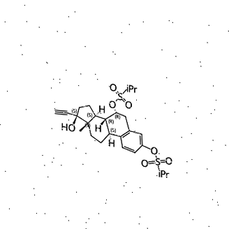 C#C[C@]1(O)CC[C@H]2[C@H]3[C@H](CC[C@@]21C)c1ccc(OS(=O)(=O)C(C)C)cc1C[C@H]3OS(=O)(=O)C(C)C